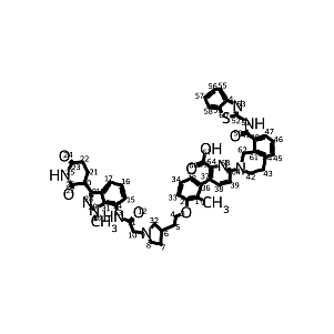 Cc1c(OCCC2CCN(CC(=O)Nc3cccc4c(C5CCC(=O)NC5=O)nn(C)c34)C2)cccc1-c1ccc(N2CCc3cccc(C(=O)Nc4nc5ccccc5s4)c3C2)nc1C(=O)O